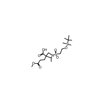 COC(=O)CCC1(C(=O)O)CN(S(=O)(=O)CCO[Si](C)(C)C(C)(C)C)C1C